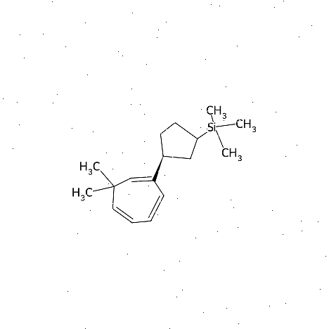 CC1(C)C=CC=CC([C@H]2CCC([Si](C)(C)C)C2)=C1